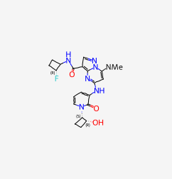 CNc1cc(Nc2cccn([C@H]3CC[C@H]3O)c2=O)nc2c(C(=O)NC3CC[C@H]3F)cnn12